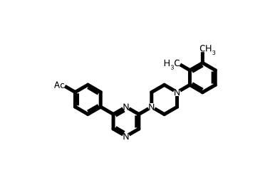 CC(=O)c1ccc(-c2cncc(N3CCN(c4cccc(C)c4C)CC3)n2)cc1